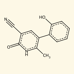 Cc1[nH]c(=O)c(C#N)cc1-c1ccccc1O